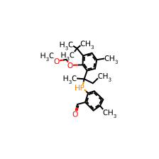 CCC(C)(Pc1ccc(C)cc1C=O)c1cc(C)cc(C(C)(C)C)c1OCOC